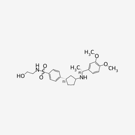 COc1ccc([C@@H](C)NC2CC[C@H](c3ccc(S(=O)(=O)NCCO)cc3)C2)cc1OC